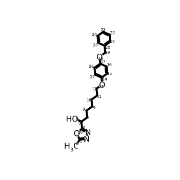 Cc1nnc(C(O)CCCCCCOc2ccc(OCc3ccccc3)cc2)o1